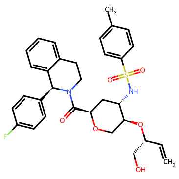 C=C[C@H](CO)O[C@H]1CO[C@@H](C(=O)N2CCc3ccccc3[C@@H]2c2ccc(F)cc2)C[C@@H]1NS(=O)(=O)c1ccc(C)cc1